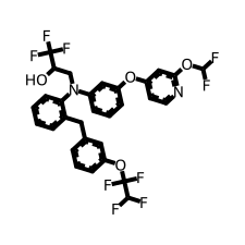 OC(CN(c1cccc(Oc2ccnc(OC(F)F)c2)c1)c1ccccc1Cc1cccc(OC(F)(F)C(F)F)c1)C(F)(F)F